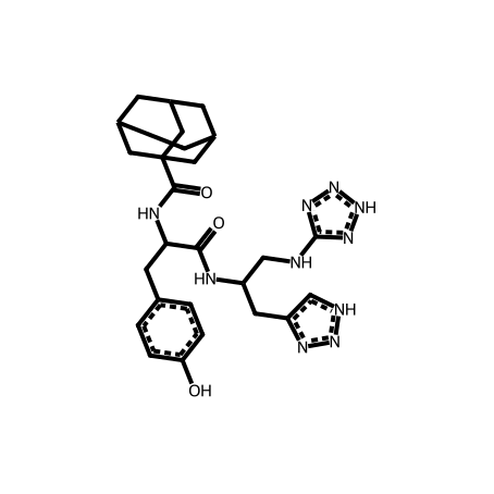 O=C(NC(CNc1nn[nH]n1)Cc1c[nH]nn1)C(Cc1ccc(O)cc1)NC(=O)C12CC3CC(CC(C3)C1)C2